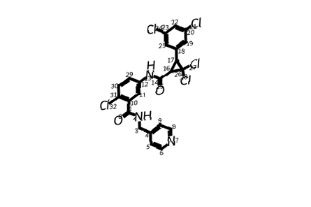 O=C(NCc1ccncc1)c1cc(NC(=O)C2C(c3cc(Cl)cc(Cl)c3)C2(Cl)Cl)ccc1Cl